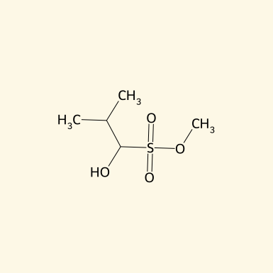 COS(=O)(=O)C(O)C(C)C